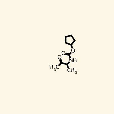 CC(=O)C(C)NC(=O)OC1CCCC1